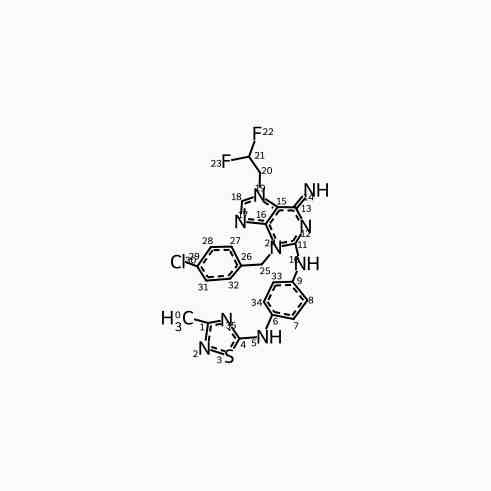 Cc1nsc(Nc2ccc(Nc3nc(=N)c4c(ncn4CC(F)F)n3Cc3ccc(Cl)cc3)cc2)n1